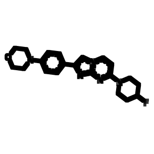 FC1CCN(c2ccn3cc(-c4ccc(N5CCOCC5)cc4)nc3n2)CC1